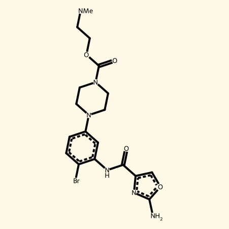 CNCCOC(=O)N1CCN(c2ccc(Br)c(NC(=O)c3coc(N)n3)c2)CC1